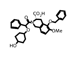 COc1ccc2c(c1OCc1ccccc1)C[C@@H](C(=O)O)N(C(=O)C(OC1CCC(O)CC1)c1ccccc1)C2